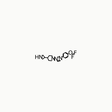 FC(F)Oc1ccc(N2C=CN(N3CCC(C4CNC4)CC3)C2)cc1